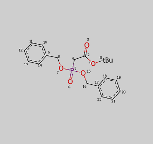 CC(C)(C)OC(=O)CP(=O)(OCc1ccccc1)OCc1ccccc1